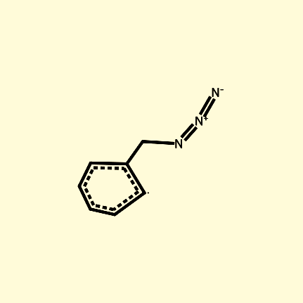 [N-]=[N+]=NCc1[c]cccc1